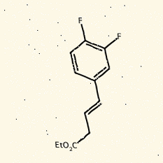 CCOC(=O)CC=Cc1ccc(F)c(F)c1